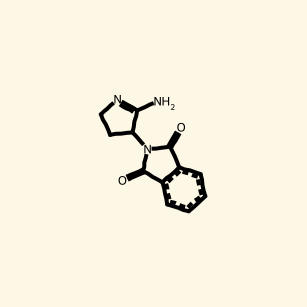 NC1=NCCC1N1C(=O)c2ccccc2C1=O